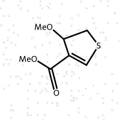 COC(=O)C1=CSCC1OC